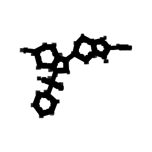 COc1nc2ccc(-c3cn(S(=O)(=O)c4ccccc4)c4cc(F)ccc34)cc2o1